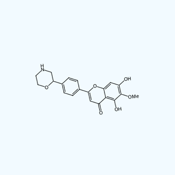 COc1c(O)cc2oc(-c3ccc(C4CNCCO4)cc3)cc(=O)c2c1O